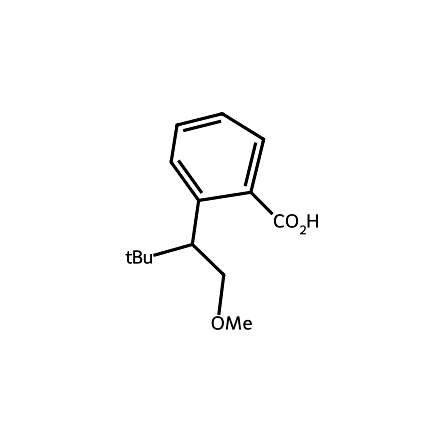 COCC(c1ccccc1C(=O)O)C(C)(C)C